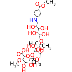 CCOC(=O)c1ccc(NCC(O)C(O)C(O)C(O)COC(C)(C)C2OC3COC(C)(C4OC(C(=O)O)C(OC)C(O)C4O)OC(C3O)C2O)cc1